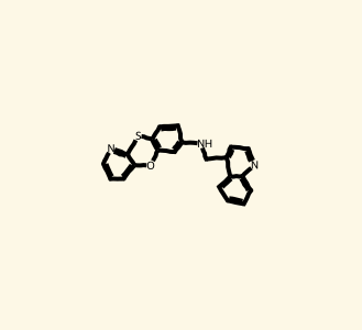 c1cnc2c(c1)Oc1cc(NCc3ccnc4ccccc34)ccc1S2